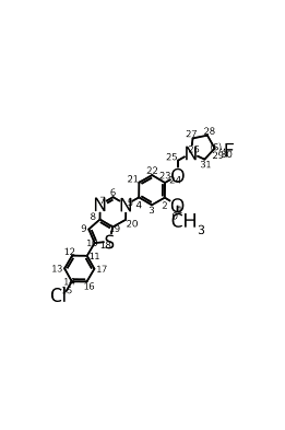 COc1cc(N2C=Nc3cc(-c4ccc(Cl)cc4)sc3C2)ccc1OCN1CC[C@H](F)C1